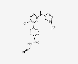 N#CCNC(=O)c1ccc(-c2nc(Nc3cnn(C4CC4)c3)ncc2Cl)cc1